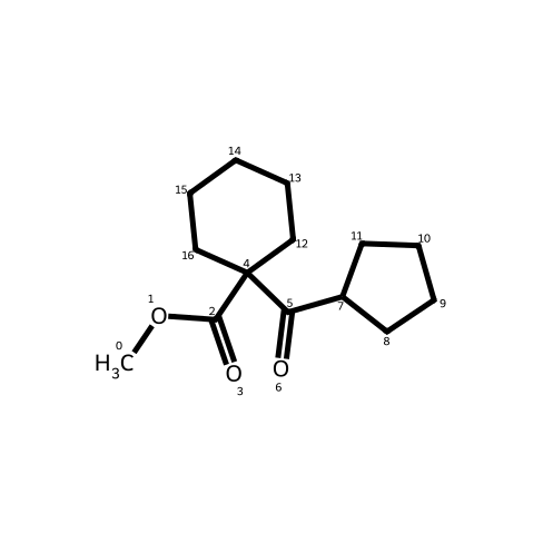 COC(=O)C1(C(=O)C2CCCC2)CCCCC1